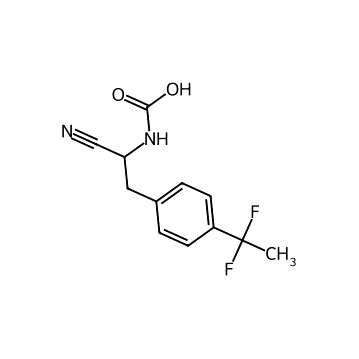 CC(F)(F)c1ccc(CC(C#N)NC(=O)O)cc1